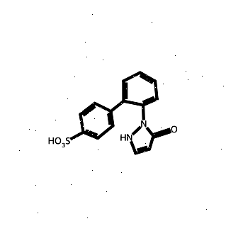 O=c1cc[nH]n1-c1ccccc1-c1ccc(S(=O)(=O)O)cc1